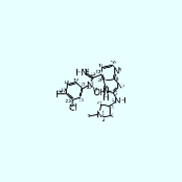 CN1CCC(Nc2nc3nccc(C(=N)N(O)c4ccc(F)c(Cl)c4)c3[nH]2)C1